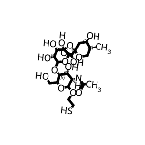 CC(=O)N[C@@H]1C(OCCS)OC(CO)[C@@H](OC2OC[C@@](O)(O[C@]3(C(=O)O)C[C@@H](O)[C@@H](C)CO3)[C@H](O)[C@@H]2O)[C@@H]1O